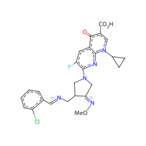 CO/N=C1/CN(c2nc3c(cc2F)c(=O)c(C(=O)O)cn3C2CC2)CC1C/N=C/c1ccccc1Cl